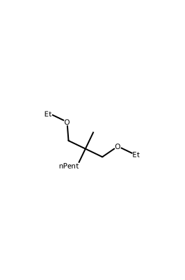 CCCCCC(C)(COCC)COCC